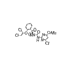 COc1cc(Cl)nc(NC(=O)NS(=O)(=O)c2ccccc2O/C(Cl)=C/Cl)n1